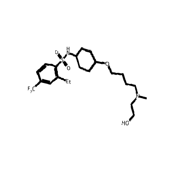 CCc1cc(C(F)(F)F)ccc1S(=O)(=O)NC1CCC(OCCCCN(C)CCO)CC1